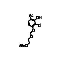 COCCOCOc1ccc(C(C)=O)c(O)c1Cl